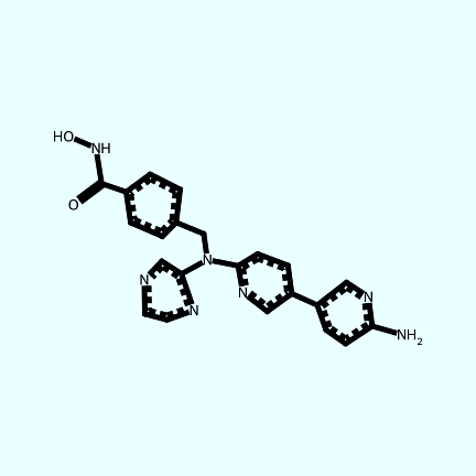 Nc1ccc(-c2ccc(N(Cc3ccc(C(=O)NO)cc3)c3cnccn3)nc2)cn1